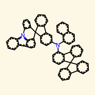 c1ccc2c(c1)-c1ccccc1C21c2ccccc2-c2c(N(c3ccc4c(c3)-c3ccccc3C43c4ccccc4-n4c5ccccc5c5cccc3c54)c3cccc4ccccc34)cccc21